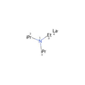 [CH2]CN(C(C)C)C(C)C.[La]